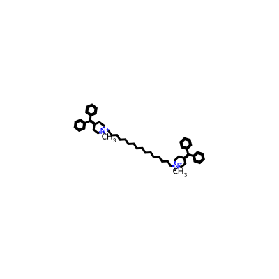 C[N+]1(CCCCCCCCCCCCCCCC[N+]2(C)CCC(=C(c3ccccc3)c3ccccc3)CC2)CCC(=C(c2ccccc2)c2ccccc2)CC1